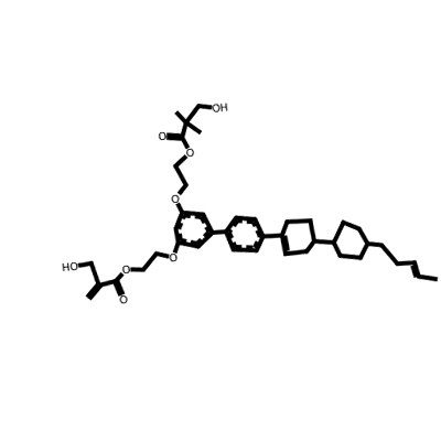 C=C(CO)C(=O)OCCOc1cc(OCCOC(=O)C(C)(C)CO)cc(-c2ccc(C3=CCC(C4CCC(CC/C=C/C)CC4)CC3)cc2)c1